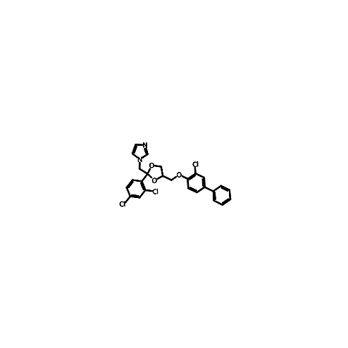 Clc1ccc(C2(Cn3ccnc3)OCC(COc3ccc(-c4ccccc4)cc3Cl)O2)c(Cl)c1